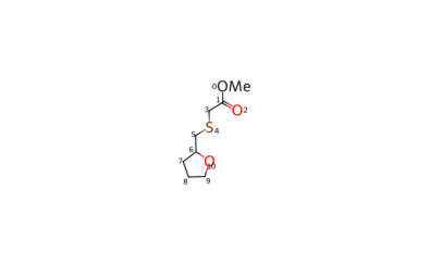 COC(=O)CSCC1CCCO1